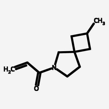 C=CC(=O)N1CCC2(CC(C)C2)C1